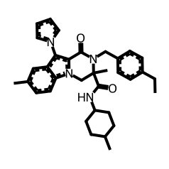 CCc1ccc(CN2C(=O)c3c(-n4cccc4)c4cc(C)ccc4n3CC2(C)C(=O)NC2CCC(C)CC2)cc1